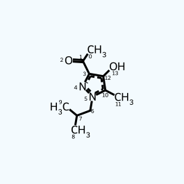 CC(=O)c1nn(CC(C)C)c(C)c1O